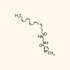 CC/C=C\C/C=C\C/C=C\C/C=C\C/C=C\CCCC(=O)NCCNC(=O)c1ccc(C)nc1